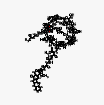 CCNC(=O)CNC(=O)[C@@H](CSCC1O[C@@H]2O[C@@H]3C(CO)O[C@@H](O[C@@H]4C(CO)O[C@@H](O[C@H]5C(CSC[C@@H](NC)C(=O)NCC(=O)NCC(=O)NCC(=O)O[C@]6(CC)C(=O)OCc7c6cc6n(c7=O)Cc7cc8ccccc8nc7-6)O[C@@H](O[C@H]6C(CO)O[C@H](O[C@@H]7C(CO)O[C@H](O[C@@H]8C(CO)O[C@H](O[C@H]1[C@H](O)C2O)C(O)[C@H]8O)C(O)[C@H]7O)C(O)[C@H]6O)C(O)[C@H]5O)C(O)[C@H]4O)C(O)[C@H]3O)CC(=O)CCOCCOCCC(C)=O